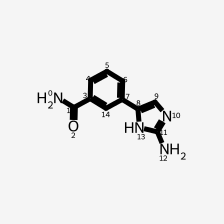 NC(=O)c1cccc(-c2cnc(N)[nH]2)c1